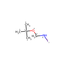 C[Si](C)(C)O[SiH2]NI